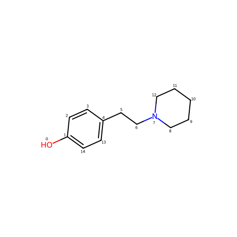 Oc1ccc(CCN2CCCCC2)cc1